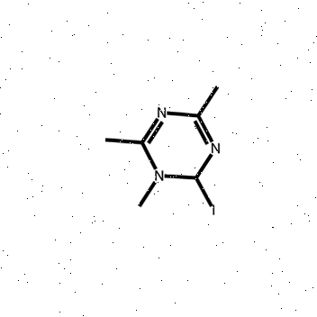 CC1=NC(I)N(C)C(C)=N1